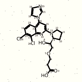 O=C(O)CCOCC(O)[C@@H]1CCCN1c1cc(-n2ccnc2)c2ccc(Cl)c(Cl)c2n1